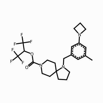 Cc1cc(CN2CCCC23CCN(C(=O)OC(C(F)(F)F)C(F)(F)F)CC3)cc(N2CCC2)c1